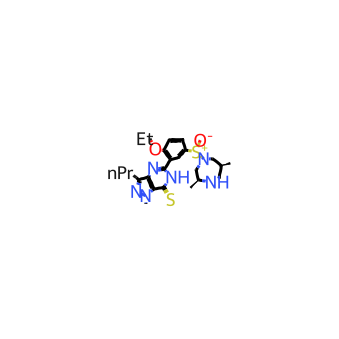 CCCc1nn(C)c2c(=S)[nH]c(-c3cc([S+]([O-])N4C[C@@H](C)CN[C@@H](C)C4)ccc3OCC)nc12